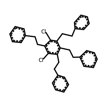 Clc1c(CCc2ccccc2)c(Cl)c(CCc2ccccc2)c(CCc2ccccc2)c1CCc1ccccc1